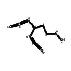 O=C=NC(CCSS)N=C=O